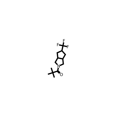 CC(C)(C)C(=O)N1CC2CC(C(F)(F)F)CC2C1